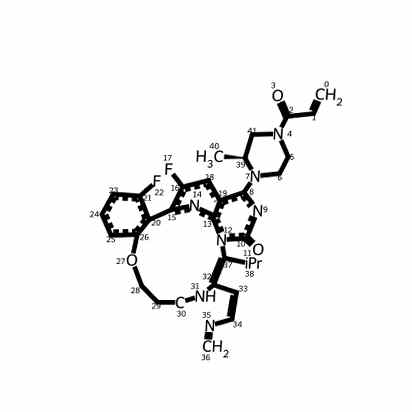 C=CC(=O)N1CCN(c2nc(=O)n3c4nc(c(F)cc24)-c2c(F)cccc2OCCCNC(/C=C\N=C)=C\3C(C)C)[C@@H](C)C1